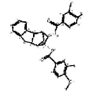 COc1ccc(C(=O)O[C@@H]2C3CC(C4c5ccccc5CC43)[C@@H]2OC(=O)c2ccc(C)c(C)c2)cc1C